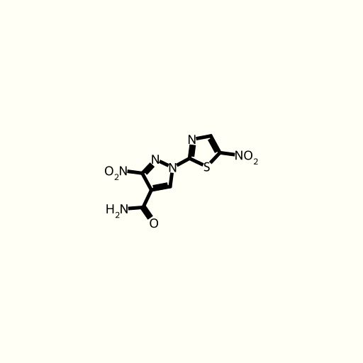 NC(=O)c1cn(-c2ncc([N+](=O)[O-])s2)nc1[N+](=O)[O-]